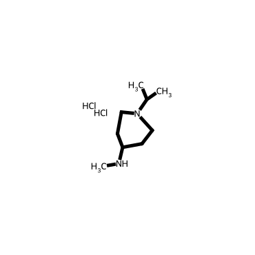 CNC1CCN(C(C)C)CC1.Cl.Cl